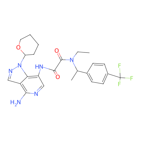 CCN(C(=O)C(=O)Nc1cnc(N)c2cnn(C3CCCCO3)c12)C(C)c1ccc(C(F)(F)F)cc1